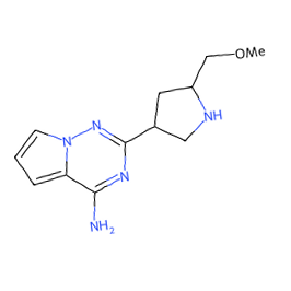 COCC1CC(c2nc(N)c3cccn3n2)CN1